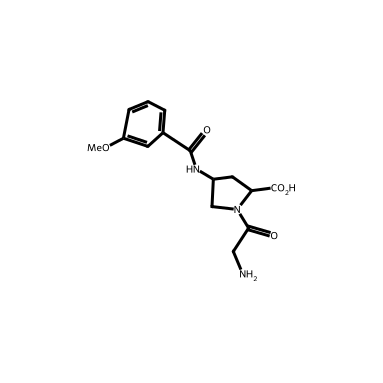 COc1cccc(C(=O)NC2CC(C(=O)O)N(C(=O)CN)C2)c1